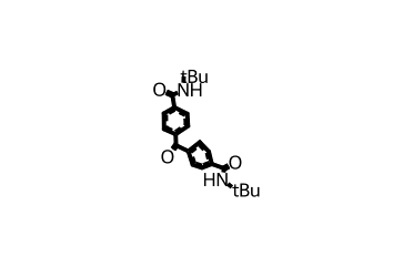 CC(C)(C)NC(=O)c1ccc(C(=O)c2ccc(C(=O)NC(C)(C)C)cc2)cc1